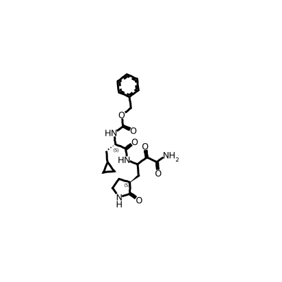 NC(=O)C(=O)C(C[C@@H]1CCNC1=O)NC(=O)[C@H](CC1CC1)NC(=O)OCc1ccccc1